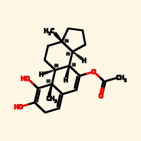 CC(=O)OC1=CC2=CCC(O)=C(O)[C@]2(C)[C@H]2CC[C@]3(C)CCC[C@H]3[C@H]12